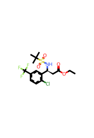 CCOC(=O)C[C@H](NS(=O)(=O)C(C)(C)C)c1cc(C(F)(F)F)ccc1Cl